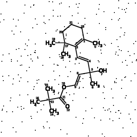 CC1=C(/C=C/C(C)(O)/C=C/OC(=O)C(C)(C)C)C(C)(C)CCC1